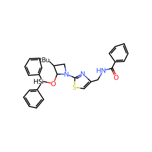 CC(C)(C)C1CN(c2nc(CNC(=O)c3ccccc3)cs2)C1O[SiH](c1ccccc1)c1ccccc1